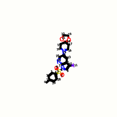 Cc1ccc(S(=O)(=O)n2cc(I)c3cc(N4CCC5(CC4)OCCO5)cnc32)cc1